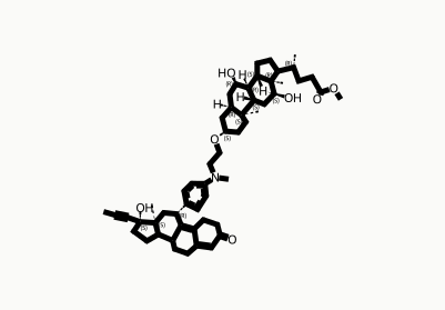 CC#C[C@]1(O)CCC2C3CCC4=CC(=O)CCC4=C3[C@@H](c3ccc(N(C)CCO[C@H]4CC[C@@]5(C)[C@@H](C4)C[C@@H](O)[C@@H]4[C@@H]5C[C@H](O)[C@]5(C)C([C@H](C)CCC(=O)OC)CC[C@@H]45)cc3)C[C@@]21C